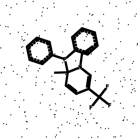 CCN1C=C(C(F)(F)F)C=CC1(C)P(c1ccccc1)c1ccccc1